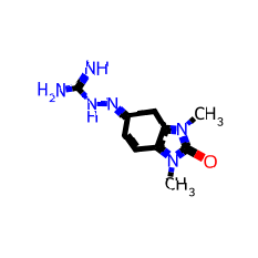 Cn1c2c(n(C)c1=O)C/C(=N/NC(=N)N)C=C2